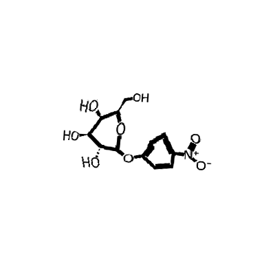 O=[N+]([O-])c1ccc(OC2O[C@H](CO)[C@H](O)[C@H](O)[C@H]2O)cc1